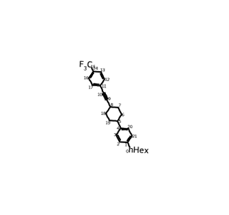 CCCCCCc1ccc(C2CCC(C#Cc3ccc(C(F)(F)F)cc3)CC2)cc1